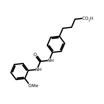 COc1ccccc1NC(=O)Nc1ccc(CCCC(=O)O)cc1